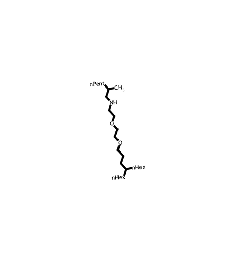 CCCCCCC(CCCCCC)CCCOCCOCCNCC(C)CCCCC